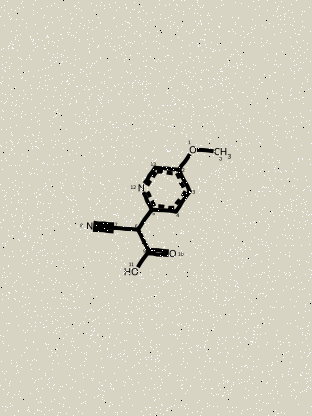 COc1ccc(C(C#N)C(=O)O)nc1